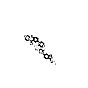 Nc1noc2cc(NC(=O)C(O)[C@H]3OCCN(c4ccc(F)c(C(N5CCOCC5)C(F)(F)F)c4)C3=O)ccc12